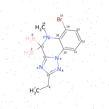 BC1(B)c2nc(CC)nn2-c2cccc(Br)c2N1C